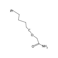 CC(C)CCCCCOCC(N)=O